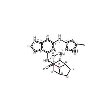 Cc1cc(Nc2nc(NC3CC4CCC(C3)N4C(=O)OC(C)(C)C)c3cc[nH]c3n2)n[nH]1